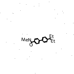 CCC(CC)c1ccc(-c2ccc(C(=O)NC)cc2)cc1